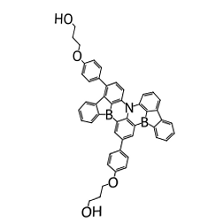 OCCCOc1ccc(-c2cc3c4c(c2)B2c5ccccc5-c5c(-c6ccc(OCCCO)cc6)ccc(c52)N4c2cccc4c2B3c2ccccc2-4)cc1